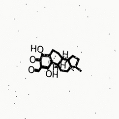 CC1CC[C@H]2[C@@H]3CCC4=C(O)C(=O)C(C=O)=C(O)[C@]4(C)[C@H]3CC[C@]12C